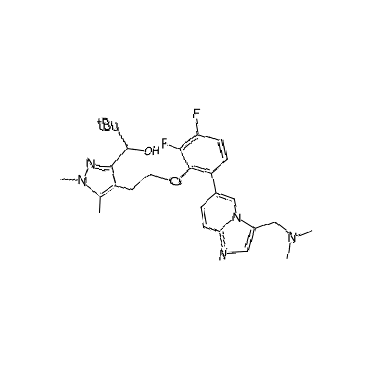 Cc1c(CCOc2c(-c3ccc4ncc(CN(C)C)n4c3)ccc(F)c2F)c(C(O)C(C)(C)C)nn1C